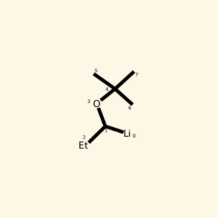 [Li][CH](CC)OC(C)(C)C